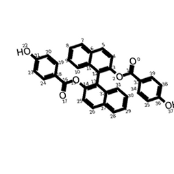 O=C(Oc1ccc2ccccc2c1-c1c(OC(=O)c2ccc(O)cc2)ccc2ccccc12)c1ccc(O)cc1